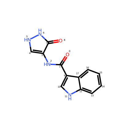 O=C(Nc1c[nH][nH]c1=O)c1c[nH]c2ccccc12